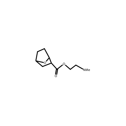 CNCCOC(=O)C1CC2CCC1O2